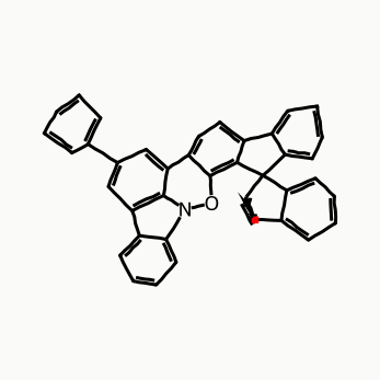 c1ccc(-c2cc3c4c(c2)c2ccccc2n4Oc2c-3ccc3c2C2(c4ccccc4-c4ccccc42)c2ccccc2-3)cc1